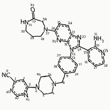 N#Cc1cc(N2CCN(Cc3ccc(-n4c(-c5cccnc5N)nc5ccc(N6CCCNC(=O)C6)nc54)cc3)CC2)ncn1